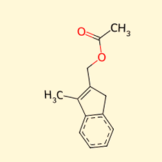 CC(=O)OCC1=C(C)c2ccccc2C1